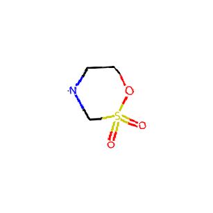 O=S1(=O)C[N]CCO1